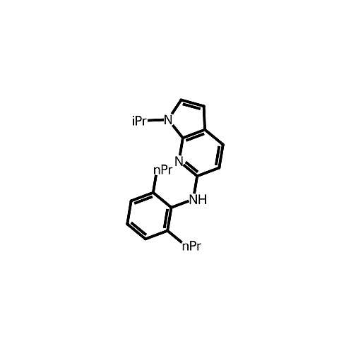 CCCc1cccc(CCC)c1Nc1ccc2ccn(C(C)C)c2n1